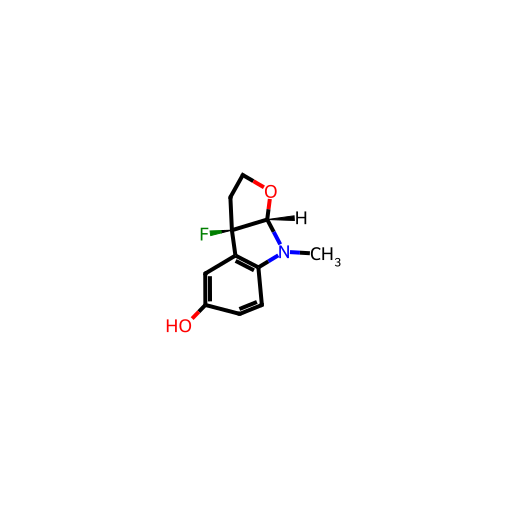 CN1c2ccc(O)cc2[C@]2(F)CCO[C@H]12